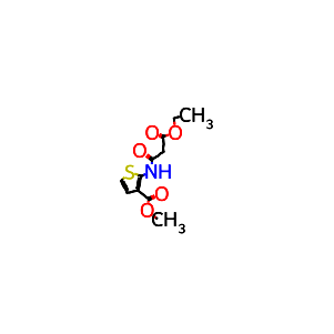 CCOC(=O)CC(=O)Nc1sccc1C(=O)OC